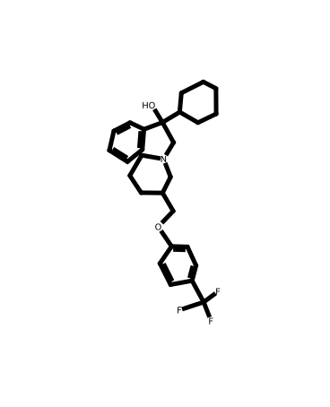 OC(CN1CCCC(COc2ccc(C(F)(F)F)cc2)C1)(c1ccccc1)C1CCCCC1